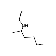 CCCCC(C)NCC